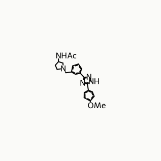 COc1ccc(-c2nc(-c3cccc(CN4CCC(NC(C)=O)C4)c3)n[nH]2)cc1